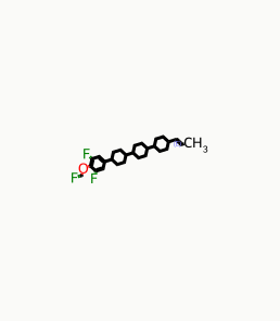 C/C=C/C1CCC(C2CCC(C3CCC(c4cc(F)c(OCF)c(F)c4)CC3)CC2)CC1